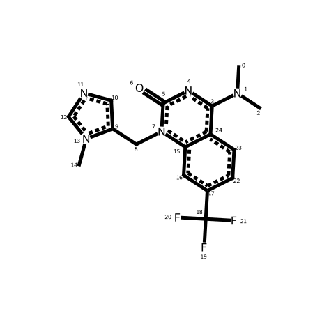 CN(C)c1nc(=O)n(Cc2cncn2C)c2cc(C(F)(F)F)ccc12